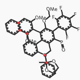 COCOc1c(-c2c(F)c(F)c(F)c(F)c2F)c(P=O)c(CCC2(C)OCCO2)c(-c2c(Oc3ccccc3)cccc2Oc2ccccc2)c1-c1c(OC)cccc1OC